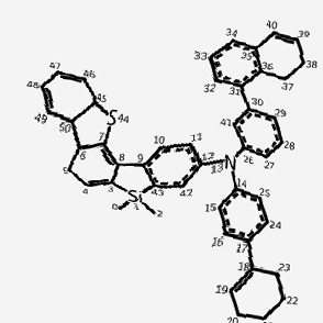 C[Si]1(C)C2=CCC3C(=C2c2ccc(N(c4ccc(C5=CCCCC5)cc4)c4cccc(-c5cccc6c5CCC=C6)c4)cc21)SC1C=CC=CC13